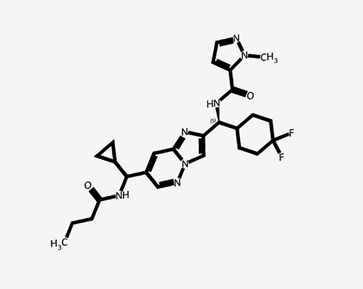 CCCC(=O)NC(c1cnn2cc([C@@H](NC(=O)c3ccnn3C)C3CCC(F)(F)CC3)nc2c1)C1CC1